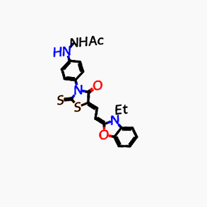 CCN1C(=CC=C2SC(=S)N(c3ccc(NNC(C)=O)cc3)C2=O)Oc2ccccc21